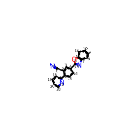 N#Cc1cc(-c2nc3ccccc3o2)ccc1-c1ccccn1